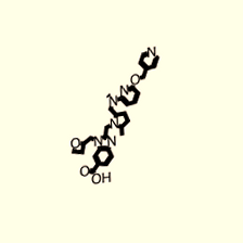 CC1CCC(CN(C)c2cccc(OCc3ccncc3)n2)N1Cc1nc2ccc(C(=O)O)cc2n1CC1CCO1